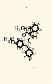 CNC(=O)[C@H](NCC[C@H](c1ccc(F)cc1)c1ccc(OC)cc1)c1ccccc1